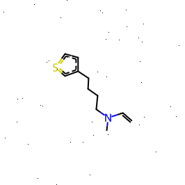 C=CN(C)CCCCc1ccsc1